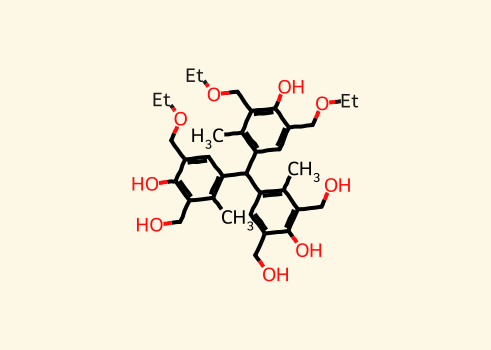 CCOCc1cc(C(c2cc(CO)c(O)c(CO)c2C)c2cc(COCC)c(O)c(COCC)c2C)c(C)c(CO)c1O